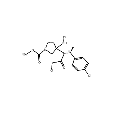 CC(C)NC1(N(C(=O)CCl)[C@@H](C)c2ccc(Cl)cc2)CCN(C(=O)OC(C)(C)C)C1